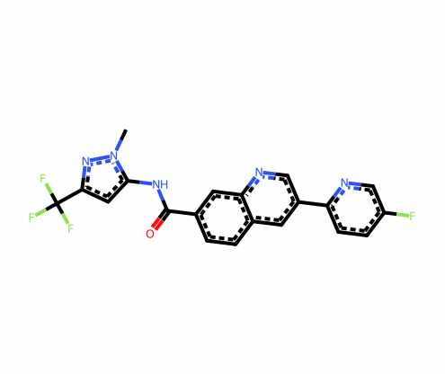 Cn1nc(C(F)(F)F)cc1NC(=O)c1ccc2cc(-c3ccc(F)cn3)cnc2c1